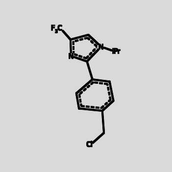 CC(C)n1cc(C(F)(F)F)nc1-c1ccc(CCl)cc1